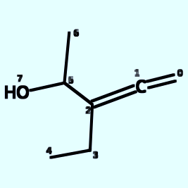 C=C=C(CC)C(C)O